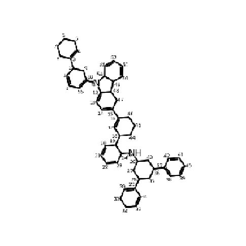 C1=CC(C2=CCCCC2)CC(N2C3=CC=C(C4=CC(C5C=CC=CC5NC5CC(C6=CCCC=C6)CC(c6ccccc6)C5)CCC4)CC3C3C=CC=CC32)=C1